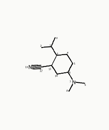 CC(C)C1CCC(N(C)C)CC1C#N